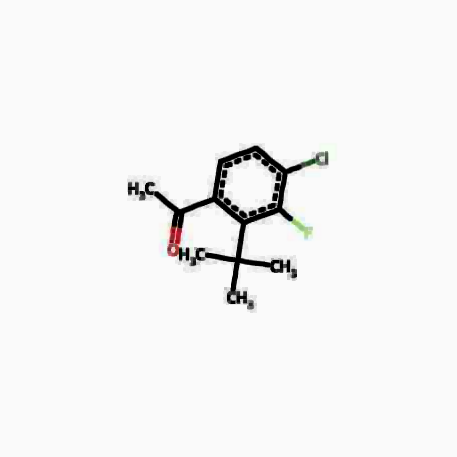 CC(=O)c1ccc(Cl)c(F)c1C(C)(C)C